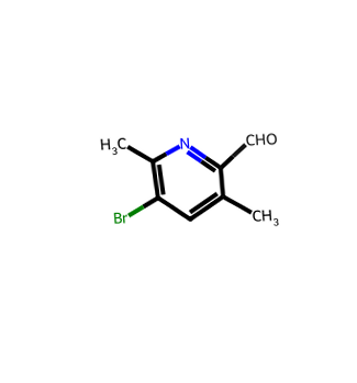 Cc1cc(Br)c(C)nc1C=O